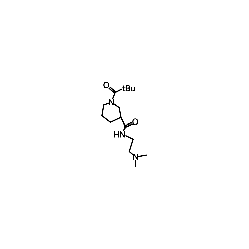 CN(C)CCNC(=O)C1CCCN(C(=O)C(C)(C)C)C1